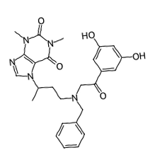 CC(CCN(CC(=O)c1cc(O)cc(O)c1)Cc1ccccc1)n1cnc2c1c(=O)n(C)c(=O)n2C